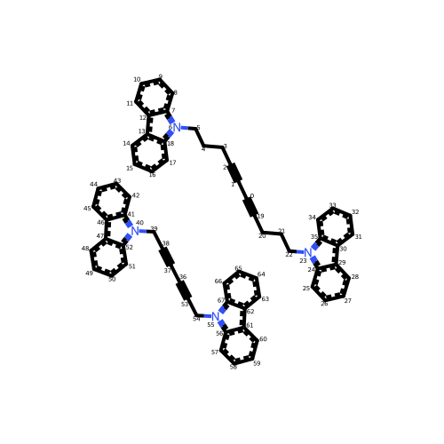 C(C#CCCCn1c2ccccc2c2ccccc21)#CCCCn1c2ccccc2c2ccccc21.C(C#CCn1c2ccccc2c2ccccc21)#CCn1c2ccccc2c2ccccc21